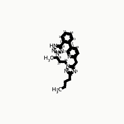 CCCCc1nc(Cc2ccc(-c3ccccc3-c3nnn[nH]3)cn2)n(CCCC)n1